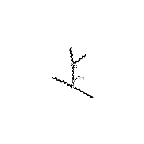 CCCCCCCCCCCCN(CCCCCCCCCCCC)CCN(CCO)CCCCCCCC(=O)OC(CCCCCCCC)CCCCCCCC